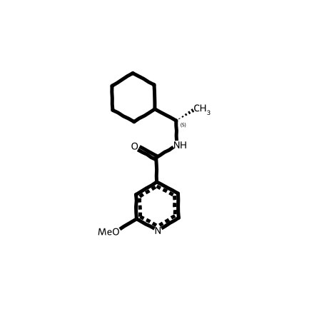 COc1cc(C(=O)N[C@@H](C)C2CCCCC2)ccn1